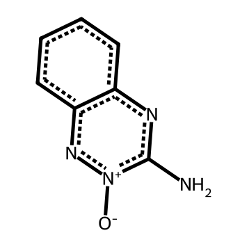 Nc1nc2ccccc2n[n+]1[O-]